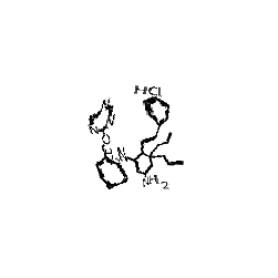 C=CCC1(CC=C)C=C(N)C=C(N)C1C=Cc1ccccc1.Cl.c1ccc(COc2ncncn2)cc1